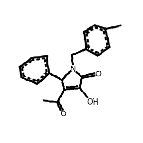 CC(=O)C1=C(O)C(=O)N(Cc2ccc(C)cc2)C1c1ccccc1